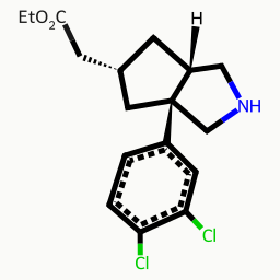 CCOC(=O)C[C@@H]1C[C@@H]2CNC[C@]2(c2ccc(Cl)c(Cl)c2)C1